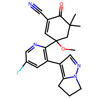 COC1(c2ncc(F)cc2-c2cnn3c2CCC3)C=C(C#N)C(=O)C(C)(C)C1